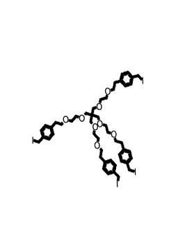 ICc1ccc(CCOCCOCC(COCCOCCc2ccc(CI)cc2)(COCCOCCc2ccc(CI)cc2)COCCOCCc2ccc(CI)cc2)cc1